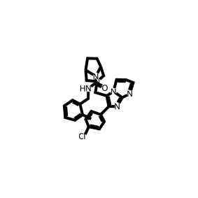 Cc1ccccc1CNC(=O)N1C2CCC1CN(Cc1c(-c3ccc(Cl)cc3)nc3ncccn13)C2